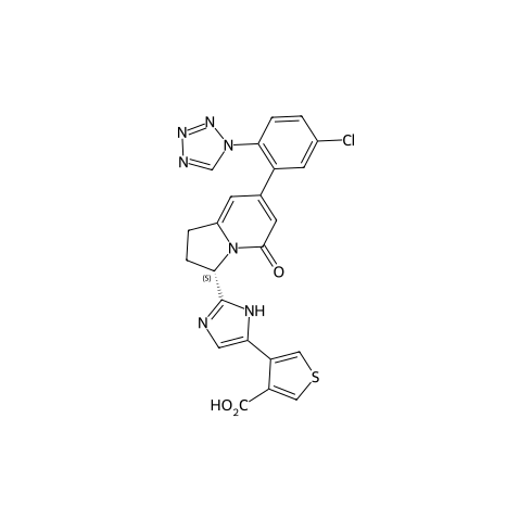 O=C(O)c1cscc1-c1cnc([C@@H]2CCc3cc(-c4cc(Cl)ccc4-n4cnnn4)cc(=O)n32)[nH]1